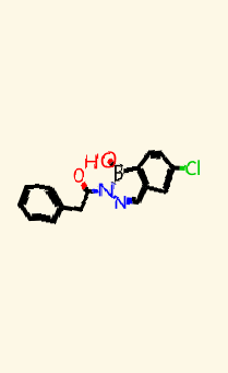 O=C(Cc1ccccc1)N1N=Cc2cc(Cl)ccc2B1O